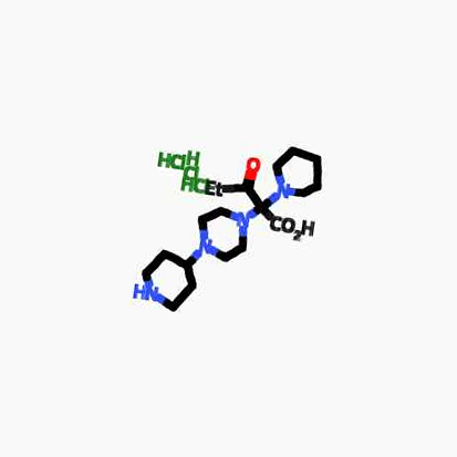 CCC(=O)C(C(=O)O)(N1CCCCC1)N1CCN(C2CCNCC2)CC1.Cl.Cl.Cl